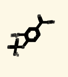 COC(=O)c1ccc(OS(=O)(=O)C(F)(F)F)c(C(=O)O)c1